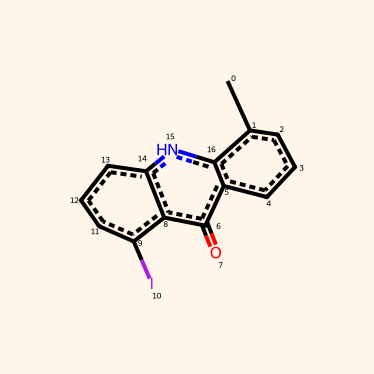 Cc1cccc2c(=O)c3c(I)cccc3[nH]c12